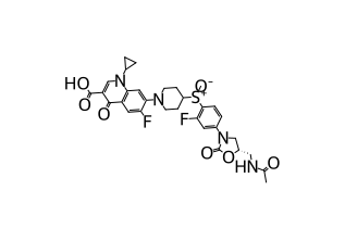 CC(=O)NC[C@H]1CN(c2ccc([S+]([O-])C3CCN(c4cc5c(cc4F)c(=O)c(C(=O)O)cn5C4CC4)CC3)c(F)c2)C(=O)O1